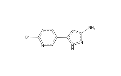 Nc1cc(-c2ccc(Br)nc2)[nH]n1